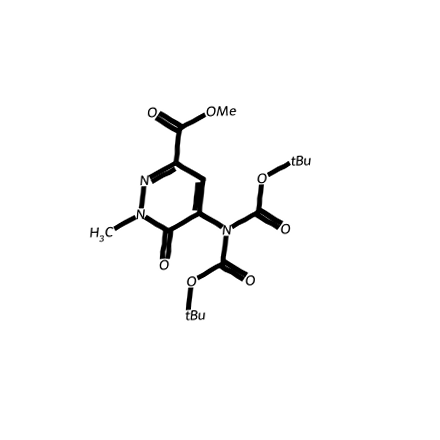 COC(=O)c1cc(N(C(=O)OC(C)(C)C)C(=O)OC(C)(C)C)c(=O)n(C)n1